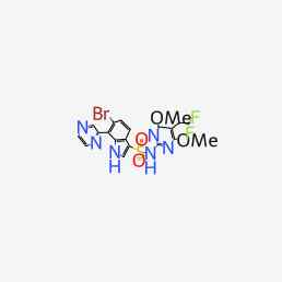 COc1nc(NS(=O)(=O)c2c[nH]c3c(-c4cnccn4)c(Br)ccc23)nc(OC)c1CC(F)F